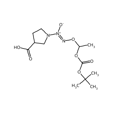 CC(ON=[N+]([O-])N1CCC(C(=O)O)C1)OC(=O)OC(C)(C)C